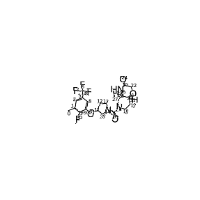 CC1C=C(C(F)(F)F)C=C(OC2CCN(C(=O)N3CC[C@@H]4OCC(=O)N[C@@H]4C3)C2)C1F